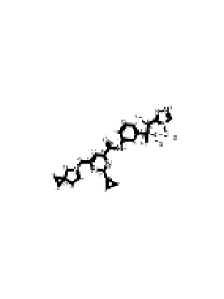 Cn1cnnc1[C@H](F)[C@](C)(F)c1cccc(NC(=O)c2cc(CN3CCC4(CC4)C3)nc(C3CC3)n2)c1